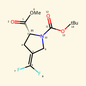 COC(=O)[C@H]1CC(=C(F)F)CN1C(=O)OC(C)(C)C